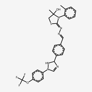 Cc1ccccc1N1/C(=N/N=C/c2ccc(C3N=CN(c4ccc(OC(F)(F)F)cc4)N3)cc2)SCC1(C)O